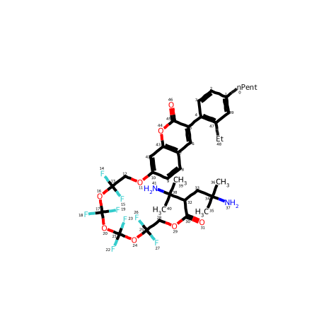 CCCCCc1ccc(-c2cc3ccc(OCC(F)(F)OC(F)(F)OC(F)(F)OC(F)(F)COC(=O)C(CC(C)(C)N)C(C)(C)N)cc3oc2=O)c(CC)c1